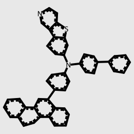 c1ccc(-c2ccc(N(c3ccc(-c4cc5c6ccccc6ccc5c5ccccc45)cc3)c3ccc4c(c3)sc3ccncc34)cc2)cc1